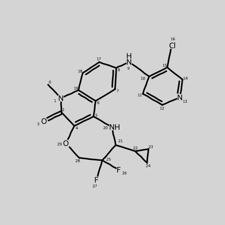 Cn1c(=O)c2c(c3cc(Nc4ccncc4Cl)ccc31)NC(C1CC1)C(F)(F)CO2